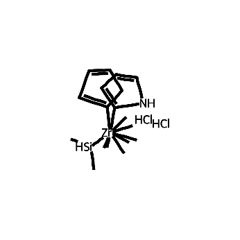 C[SiH](C)[Zr]([CH3])([CH3])([CH3])([CH3])([CH3])([CH3])([CH3])([C]1=CC=CC1)[c]1ccc[nH]1.Cl.Cl